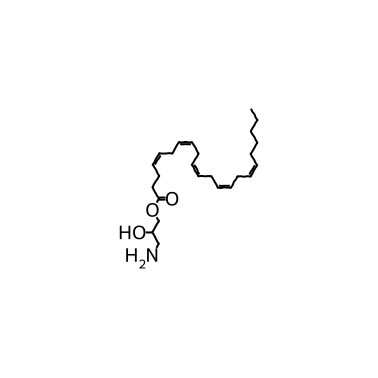 CCCCC/C=C\C/C=C\C/C=C\C/C=C\C/C=C\CCC(=O)OCC(O)CN